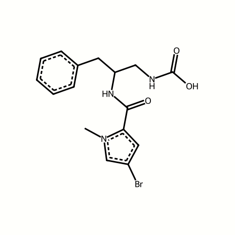 Cn1cc(Br)cc1C(=O)NC(CNC(=O)O)Cc1ccccc1